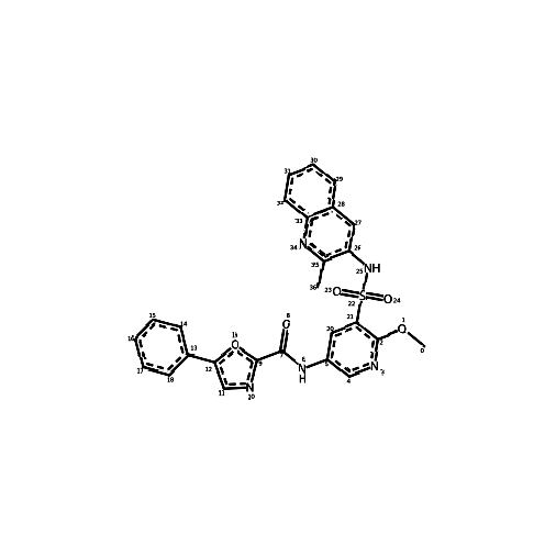 COc1ncc(NC(=O)c2ncc(-c3ccccc3)o2)cc1S(=O)(=O)Nc1cc2ccccc2nc1C